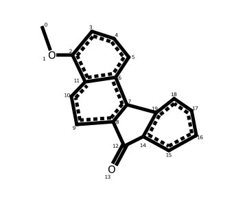 COc1cccc2c3c(ccc12)C(=O)c1ccccc1-3